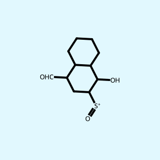 O=CC1CC([S+]=O)C(O)C2CCCCC12